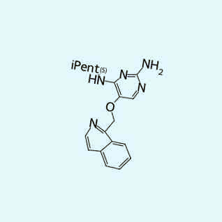 CCC[C@H](C)Nc1nc(N)ncc1OCc1nccc2ccccc12